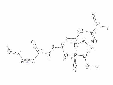 C=C(C)C(=O)OCCC(COC(=O)/C=C\C=O)OP(=O)(OCC)OCC